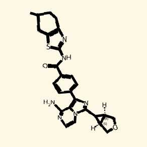 CC1CCc2nc(NC(=O)c3ccc(-c4nc(C5[C@H]6COC[C@@H]56)n5ccnc(N)c45)cc3)sc2C1